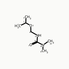 CC(C)OCNC(=O)N(C)C